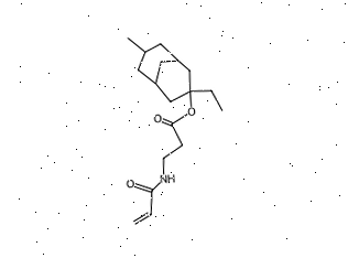 C=CC(=O)NCCC(=O)OC1(CC)CC2CC(C)CC(C2)C1